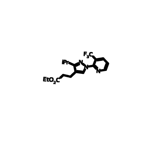 CCOC(=O)CCc1cn(-c2ncccc2C(F)(F)F)nc1C(C)C